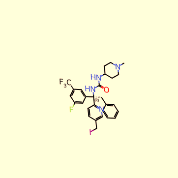 CN1CCC(NC(=O)N[C@](Cc2ccccc2)(c2cc(F)cc(C(F)(F)F)c2)c2ccc(CI)cn2)CC1